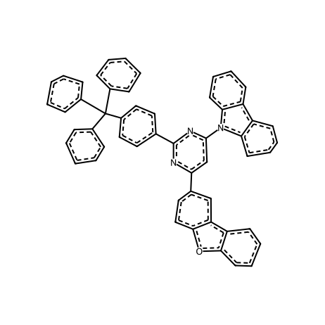 c1ccc(C(c2ccccc2)(c2ccccc2)c2ccc(-c3nc(-c4ccc5oc6ccccc6c5c4)cc(-n4c5ccccc5c5ccccc54)n3)cc2)cc1